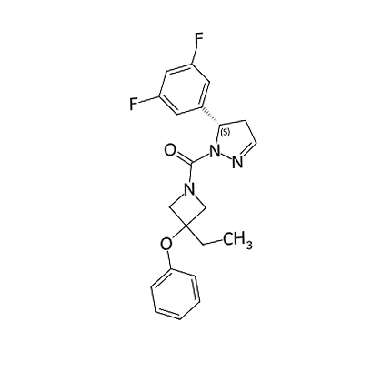 CCC1(Oc2ccccc2)CN(C(=O)N2N=CC[C@H]2c2cc(F)cc(F)c2)C1